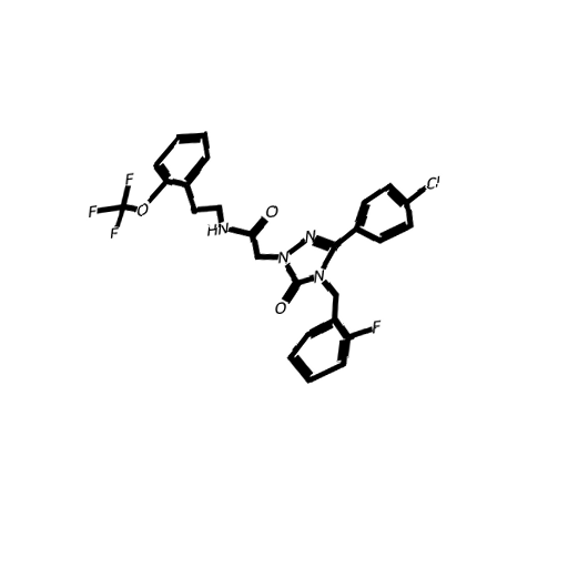 O=C(Cn1nc(-c2ccc(Cl)cc2)n(Cc2ccccc2F)c1=O)NCCc1ccccc1OC(F)(F)F